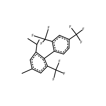 Cc1cc(C(C)C)c(-c2ccc(C(F)(F)F)cc2C(F)(F)F)c(C(F)(F)F)c1